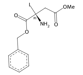 COC(=O)C[C@@](N)(I)C(=O)OCc1ccccc1